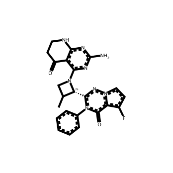 CC1CN(c2nc(N)nc3c2C(=O)CCN3)[C@@H]1c1nn2ccc(F)c2c(=O)n1-c1ccccc1